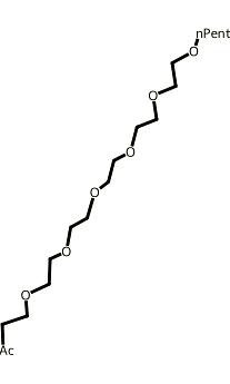 CCCCCOCCOCCOCCOCCOCCOCCC(C)=O